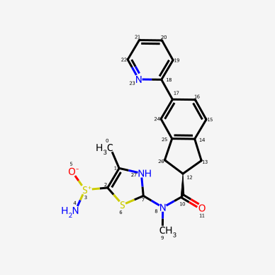 CC1=C([S+](N)[O-])SC(N(C)C(=O)[C@@H]2Cc3ccc(-c4ccccn4)cc3C2)N1